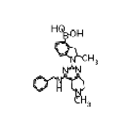 CC1Cc2c(B(O)O)cccc2N1c1nc2c(c(NCc3ccccc3)n1)CN(C)CC2